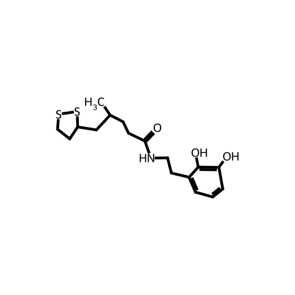 CC(CCC(=O)NCCc1cccc(O)c1O)CC1CCSS1